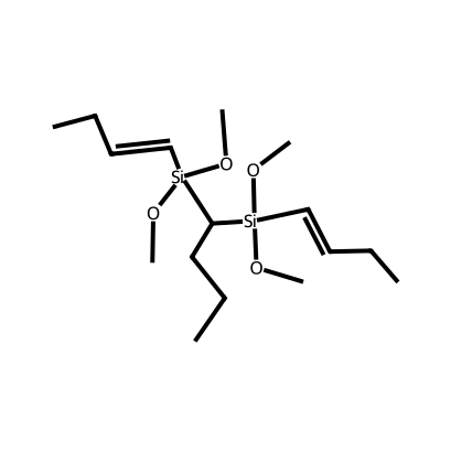 CCC=C[Si](OC)(OC)C(CCC)[Si](C=CCC)(OC)OC